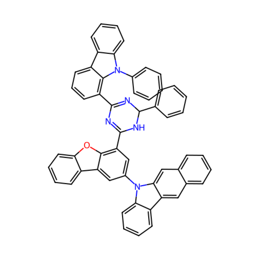 c1ccc(C2N=C(c3cccc4c5ccccc5n(-c5ccccc5)c34)N=C(c3cc(-n4c5ccccc5c5cc6ccccc6cc54)cc4c3oc3ccccc34)N2)cc1